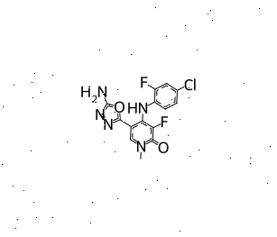 Cn1cc(-c2nnc(N)o2)c(Nc2ccc(Cl)cc2F)c(F)c1=O